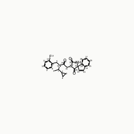 CC(C1CC1)N(Cc1ccccc1F)C(=O)CN1C(=O)NC2(C=Cc3ccccc32)C1=O